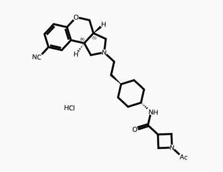 CC(=O)N1CC(C(=O)N[C@H]2CC[C@H](CCN3C[C@H]4COc5ccc(C#N)cc5[C@@H]4C3)CC2)C1.Cl